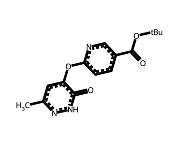 Cc1cc(Oc2ccc(C(=O)OC(C)(C)C)cn2)c(=O)[nH]n1